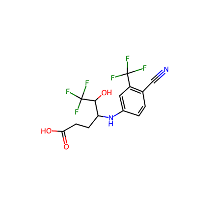 N#Cc1ccc(NC(CCC(=O)O)C(O)C(F)(F)F)cc1C(F)(F)F